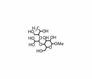 COC1OC(CO)C(OC(OC(CO)C(C)O)C(O)O)C(O)C1O